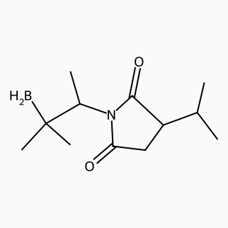 BC(C)(C)C(C)N1C(=O)CC(C(C)C)C1=O